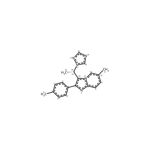 Cc1ccc(-c2nc3ccc(C)cn3c2[C@H](C)n2cncn2)cc1